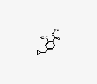 CC(C)(C)OC(=O)N1CC=C(CC2CC2)C=C1C(=O)O